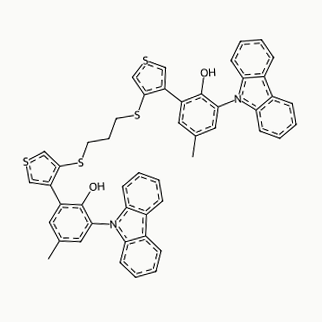 Cc1cc(-c2cscc2SCCCSc2cscc2-c2cc(C)cc(-n3c4ccccc4c4ccccc43)c2O)c(O)c(-n2c3ccccc3c3ccccc32)c1